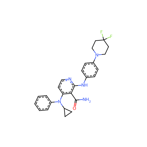 NC(=O)c1c(N(c2ccccc2)C2CC2)ccnc1Nc1ccc(N2CCC(F)(F)CC2)cc1